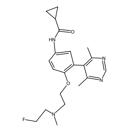 Cc1ncnc(C)c1-c1cc(NC(=O)C2CC2)ccc1OCCN(C)CCF